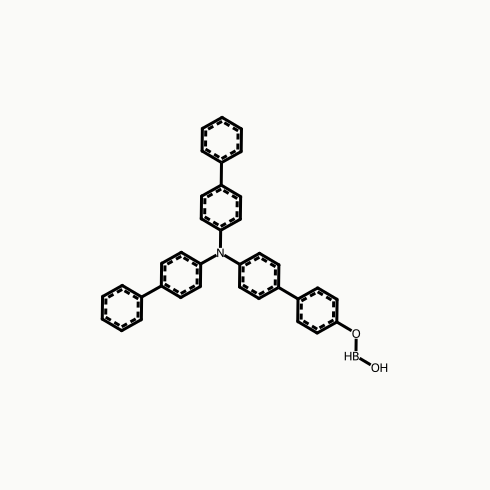 OBOc1ccc(-c2ccc(N(c3ccc(-c4ccccc4)cc3)c3ccc(-c4ccccc4)cc3)cc2)cc1